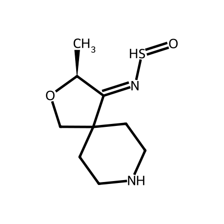 C[C@@H]1OCC2(CCNCC2)/C1=N/[SH]=O